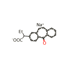 CCC(C(=O)[O-])c1ccc2c(=O)c3ccccc3ccc2c1.[Na+]